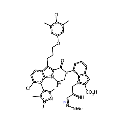 CN/N=C\C(=N)Cn1c(C(=O)O)cc2cccc(N3C[C@@H](C)n4c(c(CCCOc5cc(C)c(Cl)c(C)c5)c5ccc(Cl)c(-c6c(C)nn(C)c6C)c54)C3=O)c21